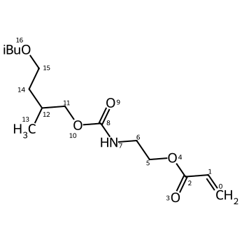 C=CC(=O)OCCNC(=O)OCC(C)CCOCC(C)C